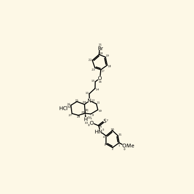 COc1ccc(NC(=S)O[C@H]2CCN(CCCOc3ccc(Br)cc3)C3CCCC[C@H]32)cc1.Cl